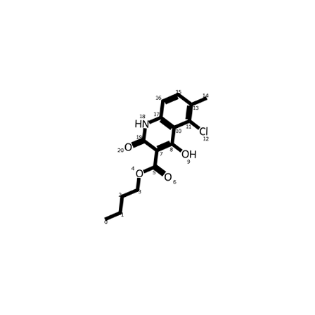 CCCCOC(=O)c1c(O)c2c(Cl)c(C)ccc2[nH]c1=O